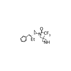 CC/C(=C\c1ccccc1)[C@@H]1C[C@H]1N(CC1(C)CNC1)C(=O)C(F)(F)F